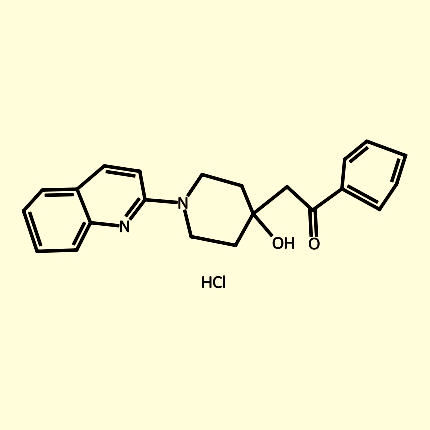 Cl.O=C(CC1(O)CCN(c2ccc3ccccc3n2)CC1)c1ccccc1